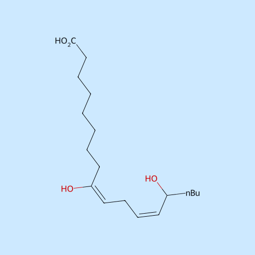 CCCCC(O)/C=C\C/C=C(/O)CCCCCCCC(=O)O